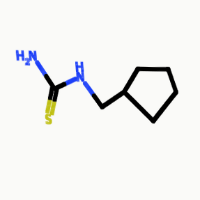 NC(=S)NCC1CCCC1